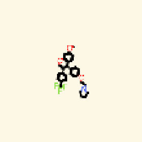 COc1ccc2c(c1)OC[C@@H](c1ccc(C(F)(F)F)cc1)[C@H]2c1ccc(OCCN2CCCC2)cc1